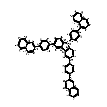 c1ccc2cc(-c3ccc(-c4ccc5c(c4)c4cc(-c6ccc(-c7ccc8ccccc8c7)cc6)ccc4n5-c4ccc(-c5cccc6ccccc56)cc4)cc3)ccc2c1